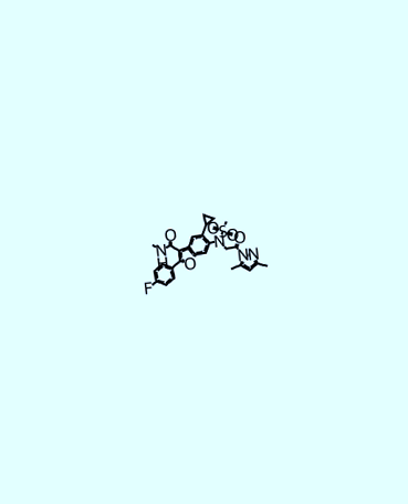 CNC(=O)c1c(-c2ccc(F)cc2)oc2cc(N(CC(=O)n3nc(C)cc3C)S(C)(=O)=O)c(C3CC3)cc12